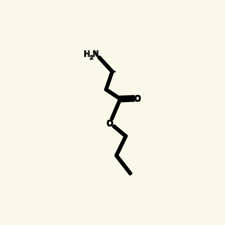 CCCOC(=O)C[CH]N